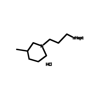 CCCCCCCCCCN1CCCC(C)C1.Cl